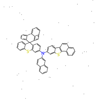 c1ccc2c(c1)Sc1cc(N(c3ccc4ccccc4c3)c3ccc4c(c3)sc3c5ccccc5ccc43)ccc1C21c2ccccc2-c2cccc3cccc1c23